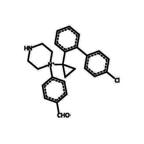 O=[C]c1ccc([N+]2(C3(c4ccccc4-c4ccc(Cl)cc4)CC3)CCNCC2)cc1